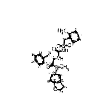 Cc1ccccc1CS(=O)(=O)NC(=O)N[C@@H](Cc1ccccc1)C(=O)N(C)c1ccc2c(c1)CCO2